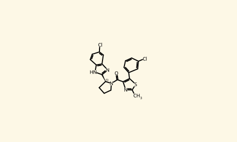 Cc1nc(C(=O)N2CCC[C@H]2c2nc3cc(Cl)ccc3[nH]2)c(-c2cccc(Cl)c2)s1